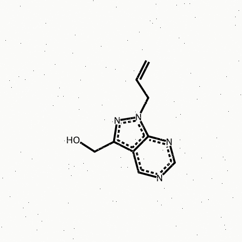 C=CCn1nc(CO)c2cncnc21